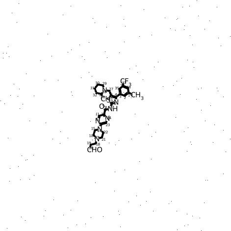 Cc1cc(-c2nc(NC(=O)c3cnc(N4CCN(CCC=O)CC4)cn3)sc2CN2CCCCC2C)cc(C(F)(F)F)c1